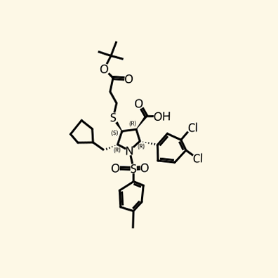 Cc1ccc(S(=O)(=O)N2[C@H](CC3CCCC3)[C@@H](SCCC(=O)OC(C)(C)C)[C@@H](C(=O)O)[C@@H]2c2ccc(Cl)c(Cl)c2)cc1